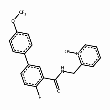 O=C(NCc1cccc[n+]1[O-])c1cc(-c2ccc(OC(F)(F)F)cc2)ccc1F